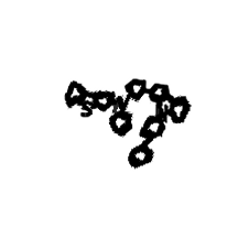 c1ccc(-c2ccc(-n3c4ccccc4c4ccc(-c5cccc(N(c6ccccc6)c6ccc7c(c6)sc6ccccc67)c5)cc43)cc2)cc1